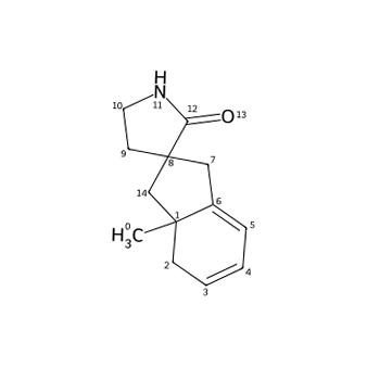 CC12CC=CC=C1CC1(CCNC1=O)C2